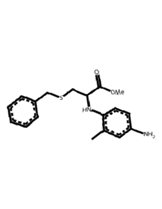 COC(=O)C(CSCc1ccccc1)Nc1ccc(N)cc1C